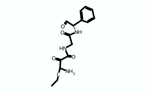 CCCC(N)C(=O)C(=O)NCC(=O)N[C@H](C=O)c1ccccc1